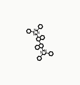 c1ccc(-c2cc(-c3ccccc3)nc(-c3ccc(-c4ccc(-c5nc(-c6ccccc6)nc(-c6ccccc6)n5)c5ccccc45)c4ccccc34)n2)cc1